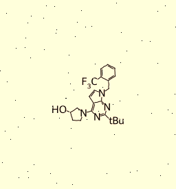 CC(C)(C)c1nc(N2CCC(O)C2)c2ccn(Cc3ccccc3C(F)(F)F)c2n1